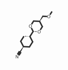 COC[C@H]1CO[C@H]([C@H]2CC[C@H](C#N)CC2)OC1